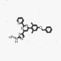 CCCNc1ncc(-c2cc(-c3c(C)cc(OCc4ccccc4)cc3C)nc(-c3ccccn3)n2)s1